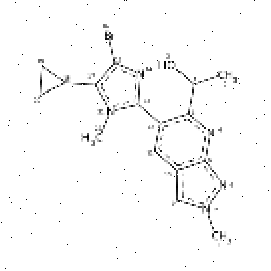 CC(O)c1nc2nn(C)cc2cc1-c1nc(Br)c(C2CC2)n1C